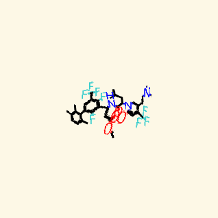 CCOC(=O)CC(NC(=O)C(CC(C)C)n1cc(CCN(C)C)c(C(F)(F)F)cc1=O)c1c(F)c(-c2c(C)ccc(C)c2C)cc(C(F)(F)F)c1F